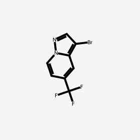 FC(F)(F)c1ccn2ncc(Br)c2c1